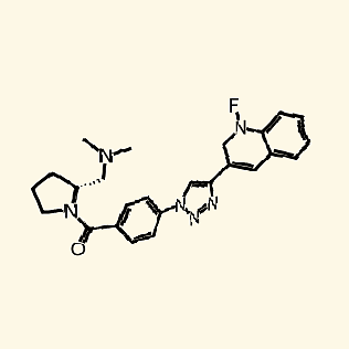 CN(C)C[C@H]1CCCN1C(=O)c1ccc(-n2cc(C3=Cc4ccccc4N(F)C3)nn2)cc1